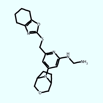 NCNc1cc(N2C3CCC2COC3)cc(CSc2nc3c(o2)CCCC3)n1